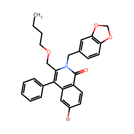 CCCCOCc1c(-c2ccccc2)c2cc(Br)ccc2c(=O)n1Cc1ccc2c(c1)OCO2